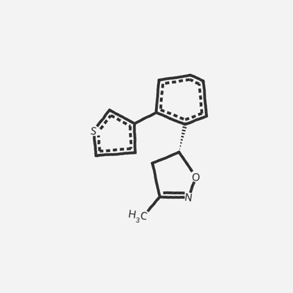 CC1=NO[C@@H](c2ccccc2-c2ccsc2)C1